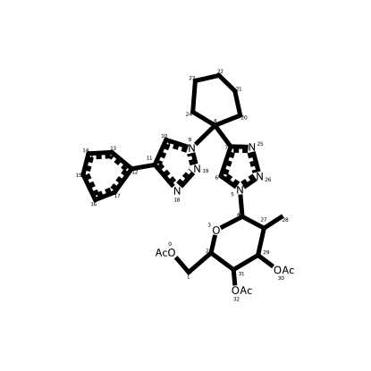 CC(=O)OCC1OC(n2cc(C3(n4cc(-c5ccccc5)nn4)CCCCC3)nn2)C(C)C(OC(C)=O)C1OC(C)=O